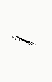 COC(=O)[CH]CCCCCC(=O)OC